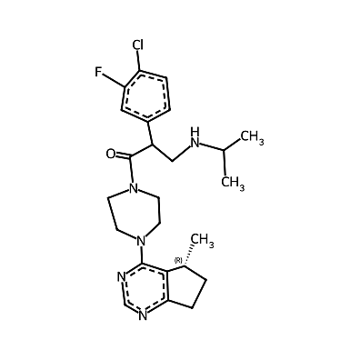 CC(C)NCC(C(=O)N1CCN(c2ncnc3c2[C@H](C)CC3)CC1)c1ccc(Cl)c(F)c1